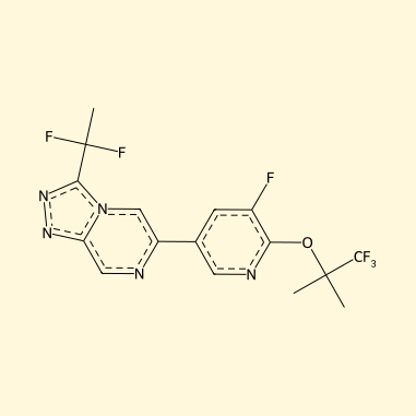 CC(F)(F)c1nnc2cnc(-c3cnc(OC(C)(C)C(F)(F)F)c(F)c3)cn12